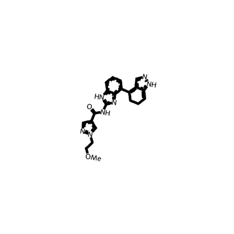 COCCn1cc(C(=O)Nc2nc3c(C4=c5cn[nH]c5=CCC4)cccc3[nH]2)cn1